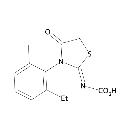 CCc1cccc(C)c1N1C(=O)CS/C1=N\C(=O)O